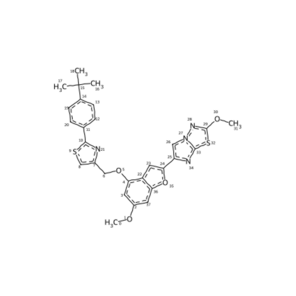 COc1cc(OCc2csc(-c3ccc(C(C)(C)C)cc3)n2)c2cc(-c3cn4nc(OC)sc4n3)oc2c1